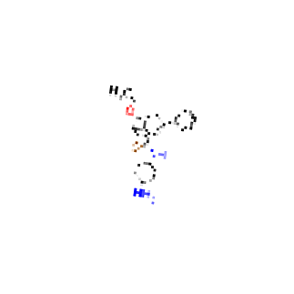 CCOC1C2CC3(C(=S)N[C@H]4CC[C@H](N)CC4)CC1CC(c1ccccc1)(C2)C3